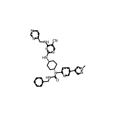 Cn1cc(-c2ccc(N(C(=O)NCc3ccccc3)[C@H]3CC[C@H](Nc4ncc(C#N)c(NCc5ccncn5)n4)CC3)nc2)cn1